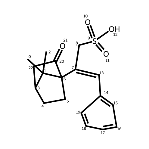 CC1(C)C2CCC1(C([CH]S(=O)(=O)O)=Cc1ccccc1)C(=O)C2